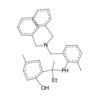 CCC(C)(Pc1c(C)cccc1CN(Cc1ccccc1)Cc1ccccc1)c1cc(C)ccc1O